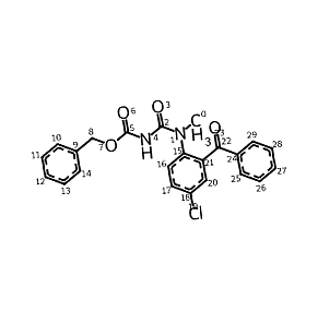 CN(C(=O)NC(=O)OCc1ccccc1)c1ccc(Cl)cc1C(=O)c1ccccc1